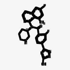 Cc1cc(F)cc2ccnc(N(C(=O)c3ccc(-c4nnc(O)s4)cc3F)[C@@H]3CCCNC3)c12